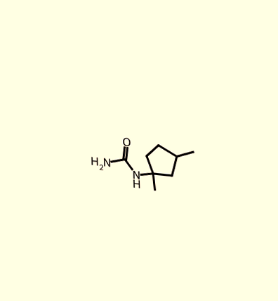 CC1CCC(C)(NC(N)=O)C1